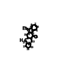 CCn1c2c(c3ccccc31)C(=O)C(CN1CCCC1)C(C)C2